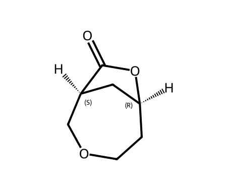 O=C1O[C@H]2CCOC[C@@H]1C2